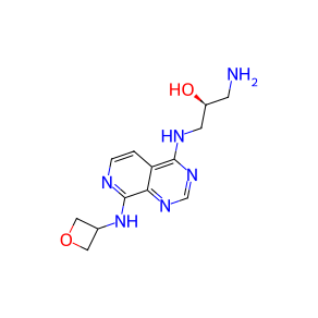 NC[C@H](O)CNc1ncnc2c(NC3COC3)nccc12